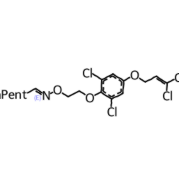 CCCCC/C=N/OCCOc1c(Cl)cc(OCC=C(Cl)Cl)cc1Cl